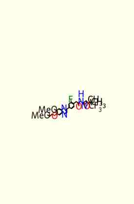 COCCOc1cc2ncc(-c3ccc(CC(=O)Nc4cc(C(C)(C)C(F)(F)F)on4)c(F)c3)nc2cc1OC